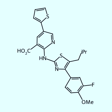 COc1ccc(-c2nc(Nc3ncc(-c4cccs4)cc3C(=O)O)sc2CC(C)C)cc1F